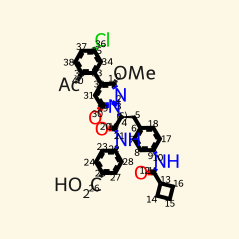 COc1nn([C@@H](Cc2ccc(NC(=O)C3CCC3)cc2)C(=O)Nc2ccc(C(=O)O)cc2)c(=O)cc1-c1cc(Cl)ccc1C(C)=O